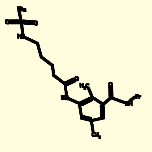 Cc1cc(NC(=O)CCCCNS(=O)(=O)C(C)(C)C)c(C)c(C(=O)NC(C)C)c1